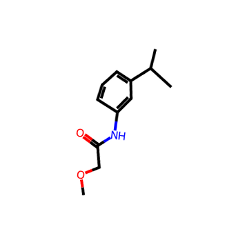 COCC(=O)Nc1cccc(C(C)C)c1